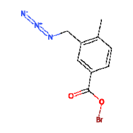 Cc1ccc(C(=O)OBr)cc1CN=[N+]=[N-]